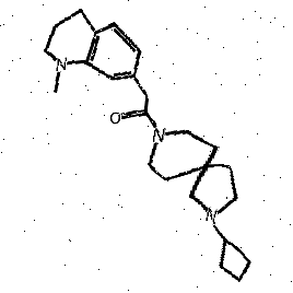 CN1CCCc2ccc(CC(=O)N3CCC4(CC3)CCN(C3CCC3)C4)cc21